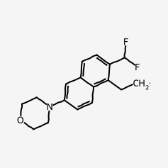 [CH2]Cc1c(C(F)F)ccc2cc(N3CCOCC3)ccc12